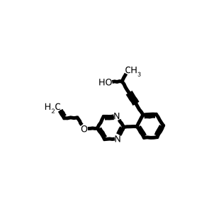 C=CCOc1cnc(-c2ccccc2C#CC(C)O)nc1